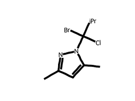 Cc1cc(C)n(C(Cl)(Br)C(C)C)n1